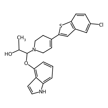 CC(O)C(Oc1cccc2[nH]ccc12)N1CC=C(c2cc3cc(Cl)ccc3s2)CC1